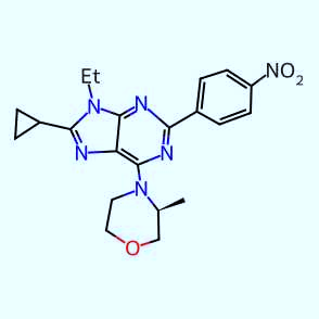 CCn1c(C2CC2)nc2c(N3CCOC[C@@H]3C)nc(-c3ccc([N+](=O)[O-])cc3)nc21